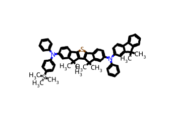 CC1(C)c2ccccc2-c2ccc(N(c3ccccc3)c3ccc4c(c3)C(C)(C)c3c-4sc4c3C(C)(C)c3cc(N(c5ccccc5)c5ccc([Si](C)(C)C)cc5)ccc3-4)cc21